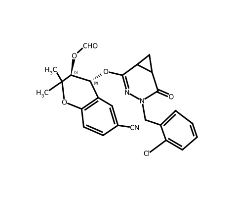 CC1(C)Oc2ccc(C#N)cc2[C@@H](OC2=NN(Cc3ccccc3Cl)C(=O)C3CC23)[C@@H]1OC=O